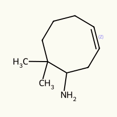 CC1(C)CCC/C=C\CC1N